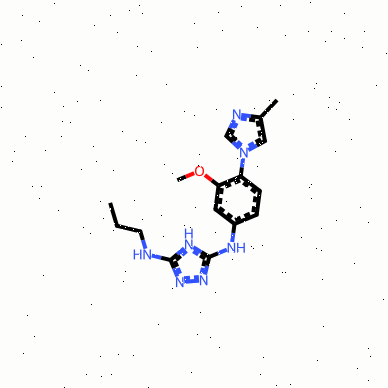 CCCNc1nnc(Nc2ccc(-n3cnc(C)c3)c(OC)c2)[nH]1